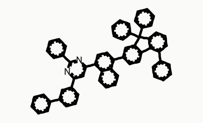 c1ccc(-c2cccc(-c3cc(-c4ccc(-c5ccc6c(c5)C(c5ccccc5)(c5ccccc5)c5cccc(-c7ccccc7)c5-6)c5ccccc45)nc(-c4ccccc4)n3)c2)cc1